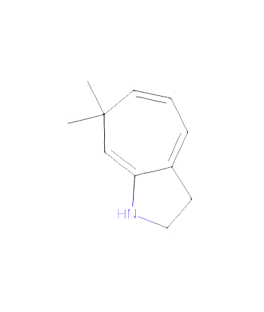 CC1(C)C=CC=C2CCNC2=C1